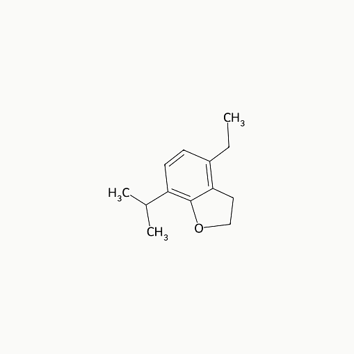 CCc1ccc(C(C)C)c2c1CCO2